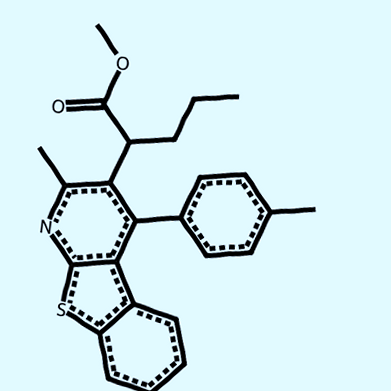 CCCC(C(=O)OC)c1c(C)nc2sc3ccccc3c2c1-c1ccc(C)cc1